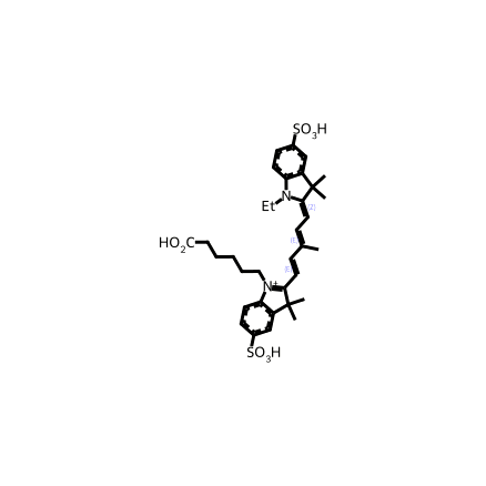 CCN1\C(=C/C=C(C)/C=C/C2=[N+](CCCCCC(=O)O)c3ccc(S(=O)(=O)O)cc3C2(C)C)C(C)(C)c2cc(S(=O)(=O)O)ccc21